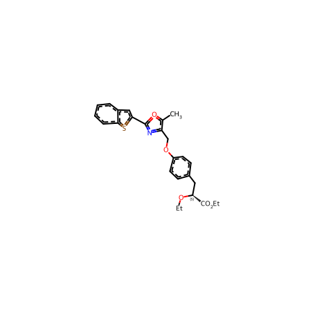 CCOC(=O)[C@H](Cc1ccc(OCc2nc(-c3cc4ccccc4s3)oc2C)cc1)OCC